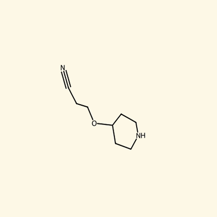 N#CCCOC1CCNCC1